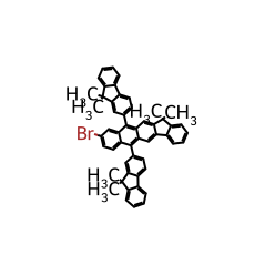 CC1(C)c2ccccc2-c2ccc(-c3c4ccc(Br)cc4c(-c4ccc5c(c4)C(C)(C)c4ccccc4-5)c4cc5c(cc34)-c3ccccc3C5(C)C)cc21